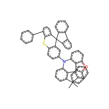 CC1(C)c2ccccc2-c2c(N(c3ccc4c(c3)C3(c5ccccc5-c5ccccc53)c3cccc(-c5ccccc5)c3S4)c3cccc4oc5ccccc5c34)cccc21